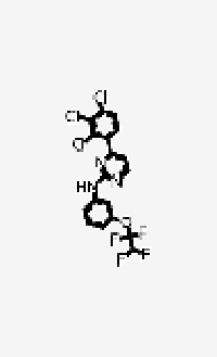 FC(F)C(F)(F)Oc1cccc(Nc2nccc(-c3ccc(Cl)c(Cl)c3Cl)n2)c1